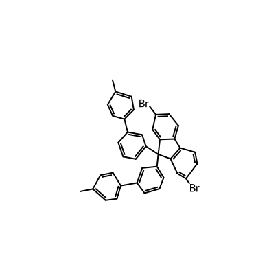 Cc1ccc(-c2cccc(C3(c4cccc(-c5ccc(C)cc5)c4)c4cc(Br)ccc4-c4ccc(Br)cc43)c2)cc1